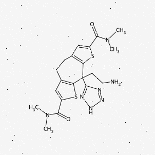 CN(C)C(=O)c1cc2c(s1)C(CCN)(c1nn[nH]n1)c1sc(C(=O)N(C)C)cc1CC2